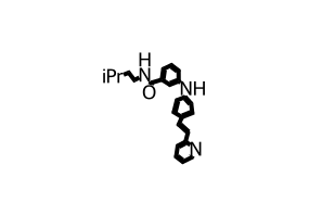 CC(C)CCNC(=O)c1cccc(Nc2ccc(/C=C/c3ccccn3)cc2)c1